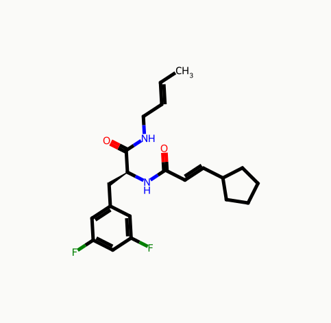 C/C=C/CNC(=O)[C@H](Cc1cc(F)cc(F)c1)NC(=O)/C=C/C1CCCC1